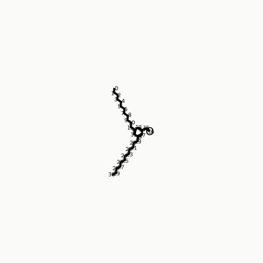 CCCCCCCCCCCCc1cc(C=O)cc(CCCCCCCCCCCC)c1